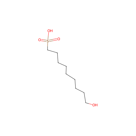 O=S(=O)(O)CCCCCCCCCO